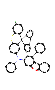 Clc1ccc2c(c1)Sc1ccc(N(c3ccccc3)c3cc(-c4ccccc4)c4c(c3)oc3ccccc34)cc1C21c2ccccc2-c2ccccc21